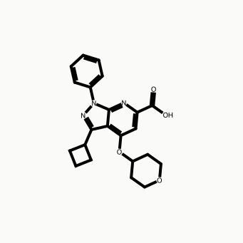 O=C(O)c1cc(OC2CCOCC2)c2c(C3CCC3)nn(-c3ccccc3)c2n1